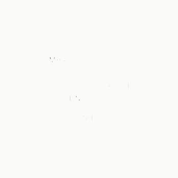 CSCC(NS)C(=O)O